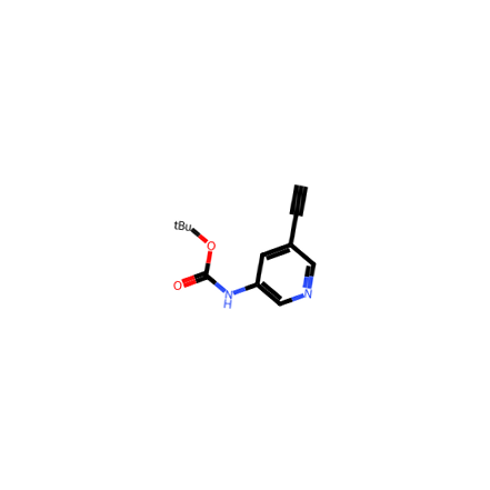 C#Cc1cncc(NC(=O)OC(C)(C)C)c1